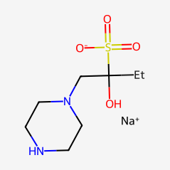 CCC(O)(CN1CCNCC1)S(=O)(=O)[O-].[Na+]